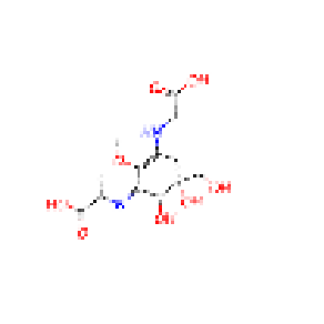 COC1=C(NCC(=O)O)C[C@@](O)(CO)[C@@H](O)C1=NC(C)C(=O)O